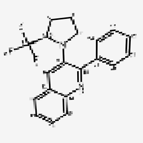 FC(F)(F)[C@H]1CCCN1c1cc2ccccc2nc1-c1ccccc1